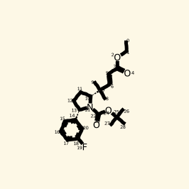 CCOC(=O)/C=C/C(C)(C)[C@H]1CC[C@@H](c2cccc(F)c2)N1C(=O)OC(C)(C)C